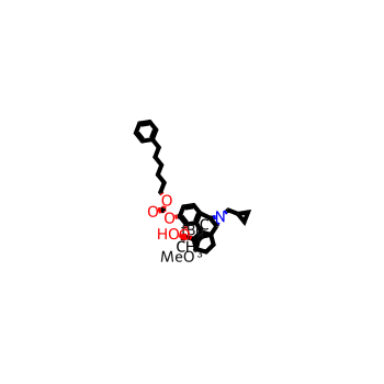 COC12CCC3(CC1C(C)(O)C(C)(C)C)C1N(CC4CC4)C14CC31c3c4ccc(OC(=O)OCCCCCCc4ccccc4)c3OC21